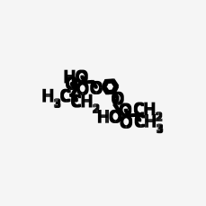 C=C(C)C(=O)OC(O)COc1cccc(OCC(O)OC(=O)C(=C)C)c1